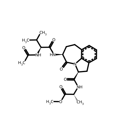 COC(=O)[C@@H](C)NC(=O)[C@@H]1Cc2cccc3c2N1C(=O)[C@@H](NC(=O)[C@@H](NC(C)=O)C(C)C)CC3